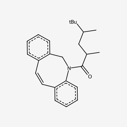 CC(CC(C)C(C)(C)C)C(=O)N1Cc2ccccc2/C=C\c2ccccc21